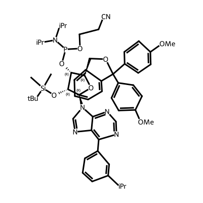 COc1ccc(C(OC[C@H]2O[C@@H](n3cnc4c(-c5cccc(C(C)C)c5)ncnc43)[C@H](O[Si](C)(C)C(C)(C)C)[C@@H]2OP(OCCC#N)N(C(C)C)C(C)C)(c2ccccc2)c2ccc(OC)cc2)cc1